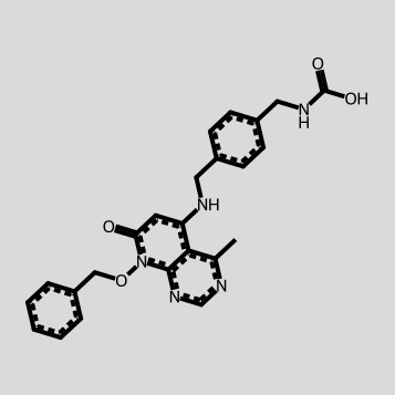 Cc1ncnc2c1c(NCc1ccc(CNC(=O)O)cc1)cc(=O)n2OCc1ccccc1